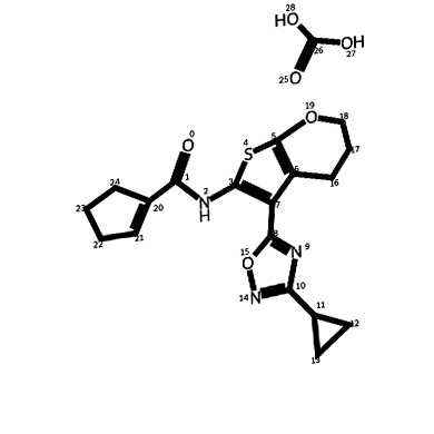 O=C(Nc1sc2c(c1-c1nc(C3CC3)no1)CCCO2)C1=CCCC1.O=C(O)O